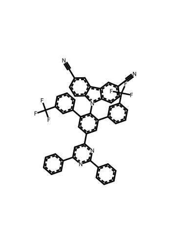 N#Cc1ccc2c(c1)c1cc(C#N)ccc1n2-c1c(-c2cccc(C(F)(F)F)c2)cc(-c2cc(-c3ccccc3)nc(-c3ccccc3)n2)cc1-c1cccc(C(F)(F)F)c1